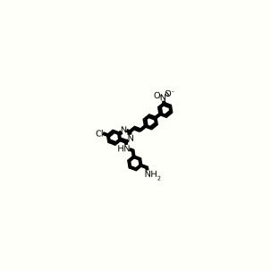 NCC1CCCC(CNc2nc(C=Cc3ccc(-c4cccc([N+](=O)[O-])c4)cc3)nc3cc(Cl)ccc23)C1